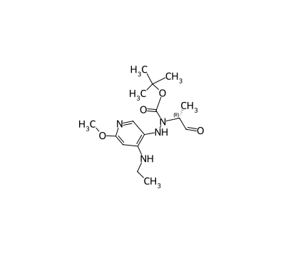 CCNc1cc(OC)ncc1NN(C(=O)OC(C)(C)C)[C@H](C)C=O